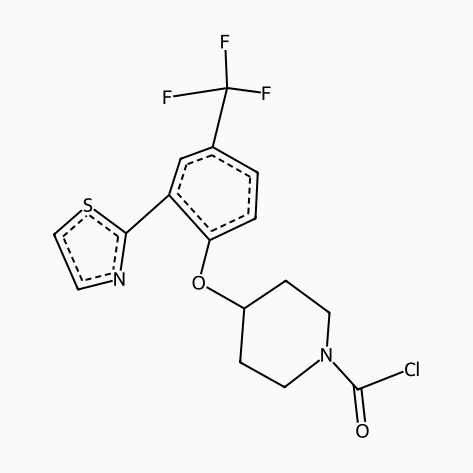 O=C(Cl)N1CCC(Oc2ccc(C(F)(F)F)cc2-c2nccs2)CC1